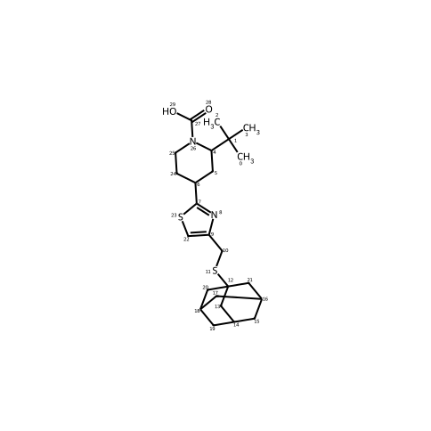 CC(C)(C)C1CC(c2nc(CSC34CC5CC(CC(C5)C3)C4)cs2)CCN1C(=O)O